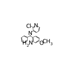 COc1ccc(/C(=N\c2cccnc2Cl)c2ccccc2)c(N)c1